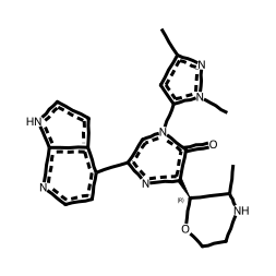 Cc1cc(-n2cc(-c3ccnc4[nH]ccc34)nc([C@@H]3OCCNC3C)c2=O)n(C)n1